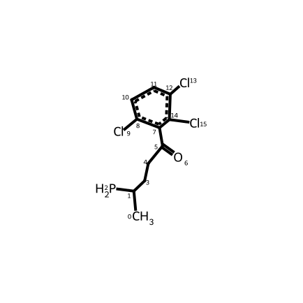 CC(P)CCC(=O)c1c(Cl)ccc(Cl)c1Cl